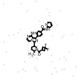 CC1CCC(c2nc(-c3ccc(C(=O)Nc4ccccn4)cc3)c3c(N)nccn23)CN1C(=O)C1CC(F)(F)C1